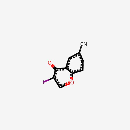 N#Cc1ccc2occ(I)c(=O)c2c1